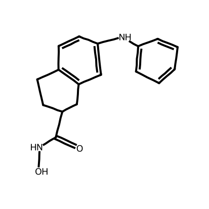 O=C(NO)C1CCc2ccc(Nc3ccccc3)cc2C1